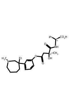 CCC1(c2cccc(OC(=O)C[C@](C)(O)C(=O)N[C@H](C(=O)O)C(C)C)c2)CCCCN(C)C1